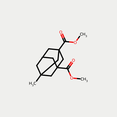 COC(=O)C12C[C]3CC(C)(C1)CC(C(=O)OC)(C3)C2